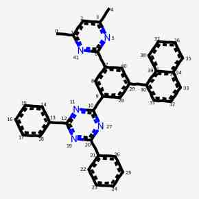 Cc1cc(C)nc(-c2cc(-c3nc(-c4ccccc4)nc(-c4ccccc4)n3)cc(-c3cccc4ccccc34)c2)n1